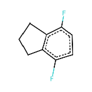 Fc1ccc(F)c2c1CCC2